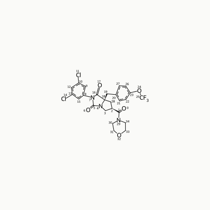 O=C([C@H]1CN2C(=O)N(c3cc(Cl)cc(Cl)c3)C(=O)[C@]2(Cc2ccc(OC(F)(F)F)cc2)C1)N1CCOCC1